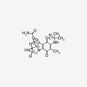 CO[C@@]12[C@H](COC(N)=O)C3=C(C(=O)C(C)=C(NC(C)(C)C)C3=O)N1C[C@@H]1N[C@@H]12